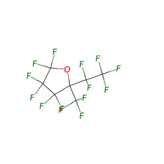 FC(F)(F)C(F)(F)C1(C(F)(F)F)OC(F)(F)C(F)(F)C1(F)F